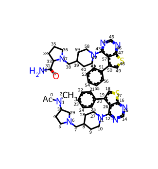 CC(=O)N(C)C1CCN(CC2CCN(c3ncnc4scc(-c5ccccc5)c34)CC2)C1.NC(=O)C1CCCN1CC1CCN(c2ncnc3scc(-c4ccccc4)c23)CC1